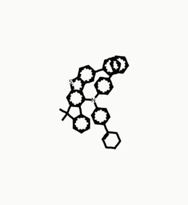 CC1(C)c2ccccc2-c2c1cc1sc3ccc(-c4ccccc4)cc3c1c2N(c1ccc(C2=CCCCC2)cc1)c1ccc(-c2ccccc2)cc1